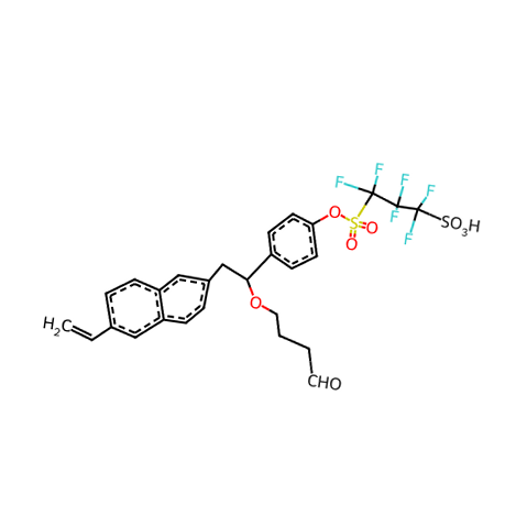 C=Cc1ccc2cc(CC(OCCCC=O)c3ccc(OS(=O)(=O)C(F)(F)C(F)(F)C(F)(F)S(=O)(=O)O)cc3)ccc2c1